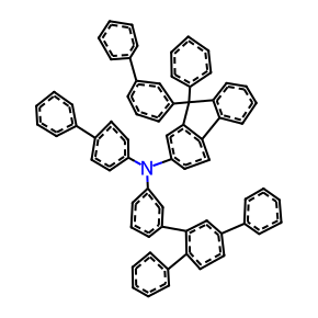 c1ccc(-c2ccc(N(c3cccc(-c4cc(-c5ccccc5)ccc4-c4ccccc4)c3)c3ccc4c(c3)C(c3ccccc3)(c3cccc(-c5ccccc5)c3)c3ccccc3-4)cc2)cc1